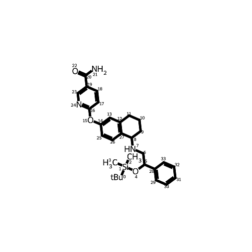 CC(C)(C)[Si](C)(C)OC(CNC1CCCc2cc(Oc3ccc(C(N)=O)cn3)ccc21)c1ccccc1